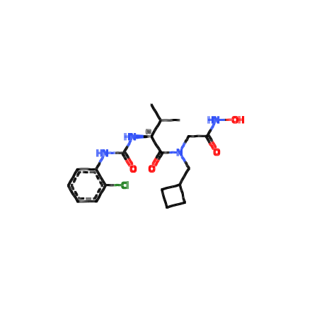 CC(C)[C@H](NC(=O)Nc1ccccc1Cl)C(=O)N(CC(=O)NO)CC1CCC1